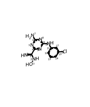 N=C(NO)c1nc(N)nc(Nc2cccc(Cl)c2)n1